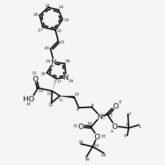 CC(C)(C)OC(=O)N(CCC[C@H]1C[C@]1(C(=O)O)c1cn(/C=C/c2ccccc2)cn1)C(=O)OC(C)(C)C